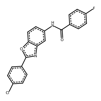 O=C(Nc1ccc2oc(-c3ccc(Cl)cc3)nc2c1)c1ccc(F)cc1